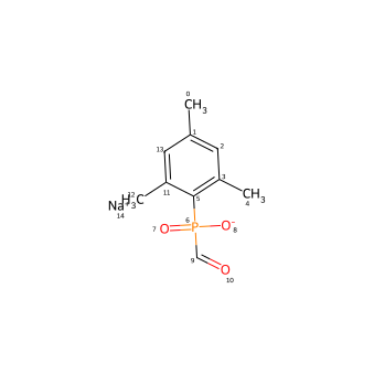 Cc1cc(C)c(P(=O)([O-])C=O)c(C)c1.[Na+]